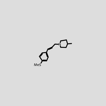 CSc1ccc(C=CCN2CCC(C)CC2)cc1